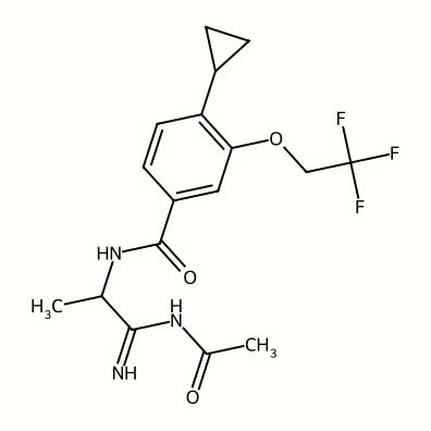 CC(=O)NC(=N)C(C)NC(=O)c1ccc(C2CC2)c(OCC(F)(F)F)c1